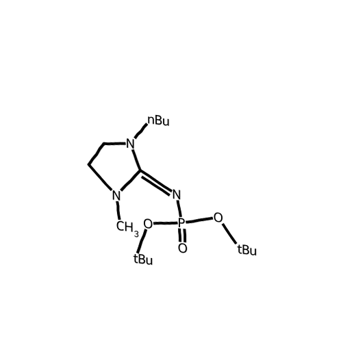 CCCCN1CCN(C)/C1=N\P(=O)(OC(C)(C)C)OC(C)(C)C